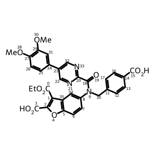 CCOC(=O)c1c(C(=O)O)oc2ccc(N(Cc3ccc(C(=O)O)cc3)C(=O)c3ncc(-c4ccc(OC)c(OC)c4)cn3)cc12